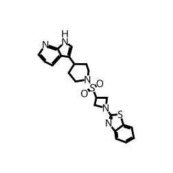 O=S(=O)(C1CN(c2nc3ccccc3s2)C1)N1CCC(c2c[nH]c3ncccc23)CC1